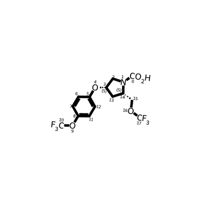 O=C(O)N1C[C@@H](Oc2ccc(OC(F)(F)F)cc2)C[C@H]1COC(F)(F)F